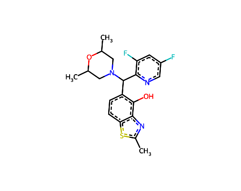 Cc1nc2c(O)c(C(c3ncc(F)cc3F)N3CC(C)OC(C)C3)ccc2s1